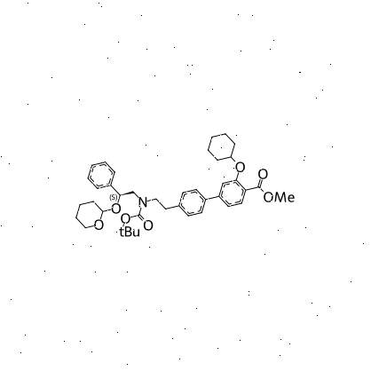 COC(=O)c1ccc(-c2ccc(CCN(C[C@@H](OC3CCCCO3)c3ccccc3)C(=O)OC(C)(C)C)cc2)cc1OC1CCCCC1